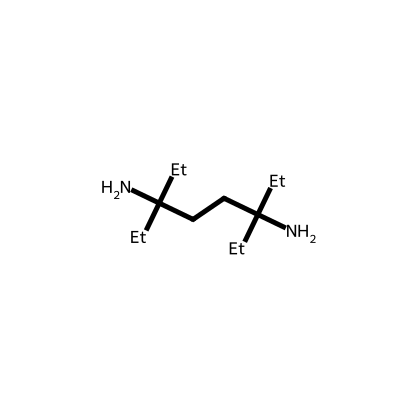 CCC(N)(CC)CCC(N)(CC)CC